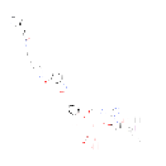 CCCCC(I)(CC)SC1CC(=O)N(C2(C(=O)NCCC(=O)Nc3cc(COC(=O)Nc4cccc(C(=O)N5CCC(CCCCNC(=O)/C=C/c6cccnc6)CC5)c4)ccc3O[C@@H](O)[C@@H](O)C(O)C(OC)C(=O)O)CNC2)C1=O